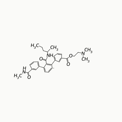 CCCC(C)NC(=O)c1c(-c2cccc(C(=O)OCCN(C)C)c2)[c]ccc1-c1cccc(C(=O)NC)c1